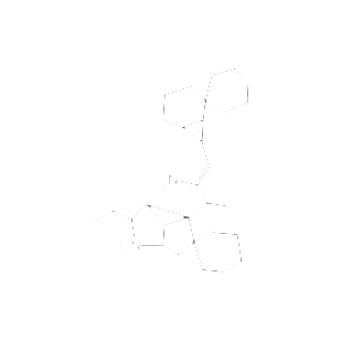 CCC1NC2CC3(CCCCC3)C3(C(C)/C(N)=C/C4C5CCCC6(CCCCC6)C45)C1C23